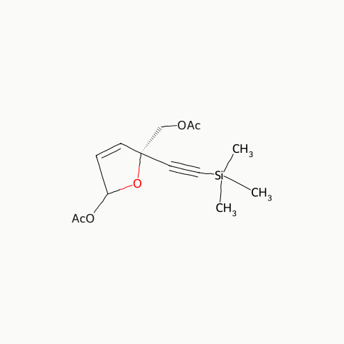 CC(=O)OC[C@@]1(C#C[Si](C)(C)C)C=CC(OC(C)=O)O1